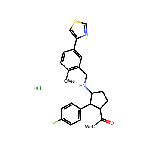 COC(=O)C1CCC(NCc2cc(-c3cscn3)ccc2OC)C1c1ccc(F)cc1.Cl